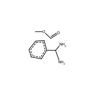 COC=O.NC(N)c1ccccc1